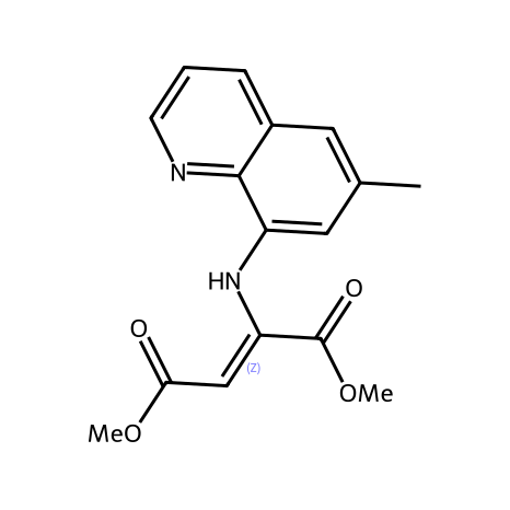 COC(=O)/C=C(\Nc1cc(C)cc2cccnc12)C(=O)OC